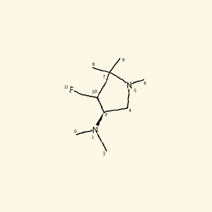 CN(C)[C@@H]1CN(C)C(C)(C)C1F